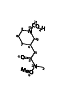 CON(C)C(=O)CC1CCCN(C(=O)O)C1